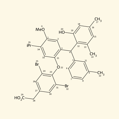 COc1cc(C(c2cccc(C)c2)c2c(C)cc(C)cc2O)c(Oc2c(Br)cc(CC(=O)O)cc2Br)cc1C(C)C